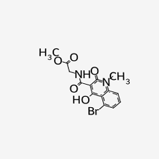 COC(=O)CNC(=O)c1c(O)c2c(Br)cccc2n(C)c1=O